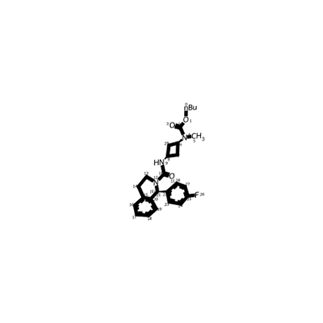 CCCCOC(=O)N(C)[C@H]1C[C@H](NC(=O)N2CCc3ccccc3[C@@H]2c2ccc(F)cc2)C1